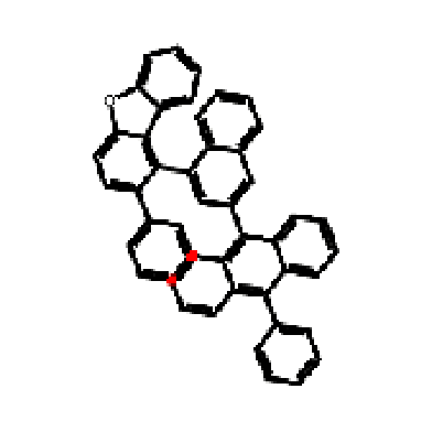 c1ccc(-c2ccc3oc4ccccc4c3c2-c2cc(-c3c4ccccc4c(-c4ccccc4)c4ccccc34)cc3ccccc23)cc1